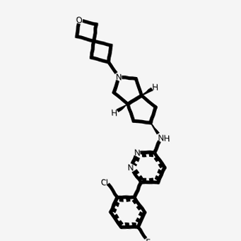 Fc1ccc(Cl)c(-c2ccc(N[C@H]3C[C@@H]4CN(C5CC6(COC6)C5)C[C@@H]4C3)nn2)c1